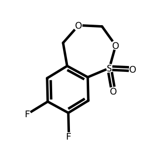 O=S1(=O)OCOCc2cc(F)c(F)cc21